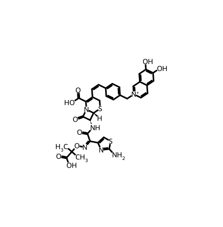 CC(C)(O/N=C(\C(=O)N[C@@H]1C(=O)N2C(C(=O)O)=C(/C=C\c3ccc(C[n+]4ccc5cc(O)c(O)cc5c4)cc3)CS[C@H]12)c1csc(N)n1)C(=O)O